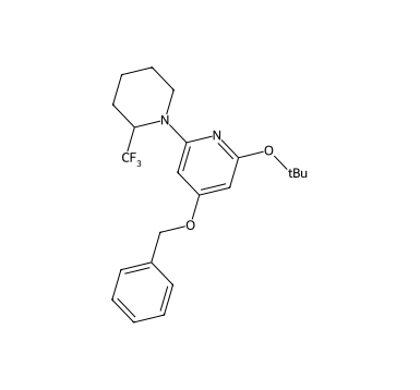 CC(C)(C)Oc1cc(OCc2ccccc2)cc(N2CCCCC2C(F)(F)F)n1